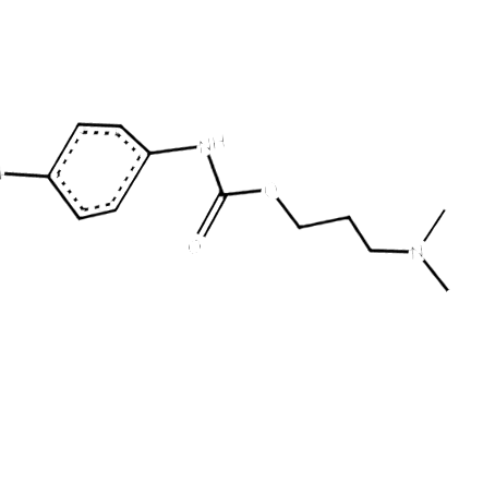 CN(C)CCCOC(=O)Nc1ccc(I)cc1